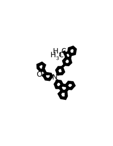 CC1(C)c2ccccc2-c2ccc(-c3ccc(N(c4ccc5oc6ccccc6c5c4)c4ccc5c6ccccc6c6ccccc6c5c4)cc3)cc21